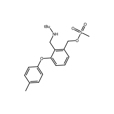 Cc1ccc(Oc2cccc(COS(C)(=O)=O)c2CNC(C)(C)C)cc1